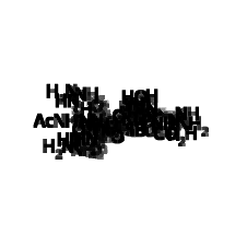 CC(=O)N[C@@H](CCCNC(=N)N)C(=O)N[C@@H](CCCNC(=N)N)C(=O)N[C@@H](Cc1ccccc1)C(=O)N[C@@H](Cc1c[nH]c2ccccc12)C(=O)N[C@H](CS)C(=O)N[C@@H](CS)C(=O)N[C@H](C(=O)N[C@@H](CCCNC(=N)N)C(=O)N[C@H](C(=O)O)C(C)(C)C)[C@@H](C)O